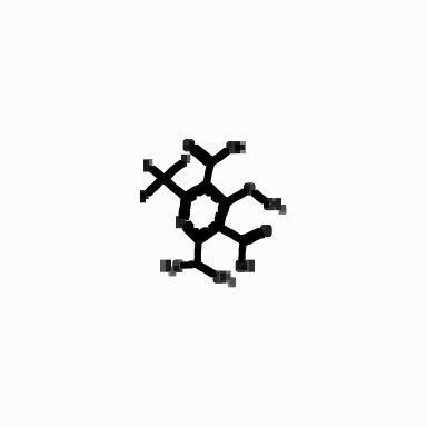 COc1c(C(=O)O)c(C(C)C)nc(C(F)(F)F)c1C(=O)O